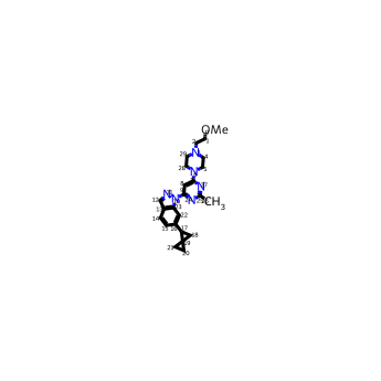 COCCN1CCN(c2cc(-n3ncc4ccc(C5CC56CC6)cc43)nc(C)n2)CC1